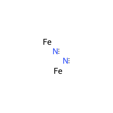 [Fe].[Fe].[N].[N]